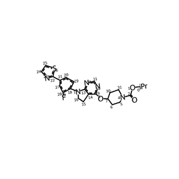 CC(C)OC(=O)N1CCC(Oc2ncnc3c2CCN3c2ccc(-c3nccs3)cc2F)CC1